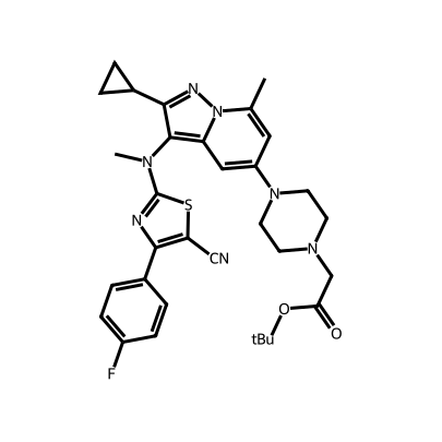 Cc1cc(N2CCN(CC(=O)OC(C)(C)C)CC2)cc2c(N(C)c3nc(-c4ccc(F)cc4)c(C#N)s3)c(C3CC3)nn12